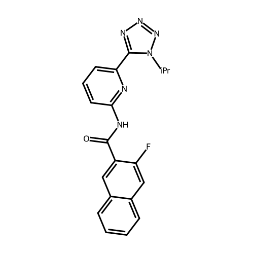 CC(C)n1nnnc1-c1cccc(NC(=O)c2cc3ccccc3cc2F)n1